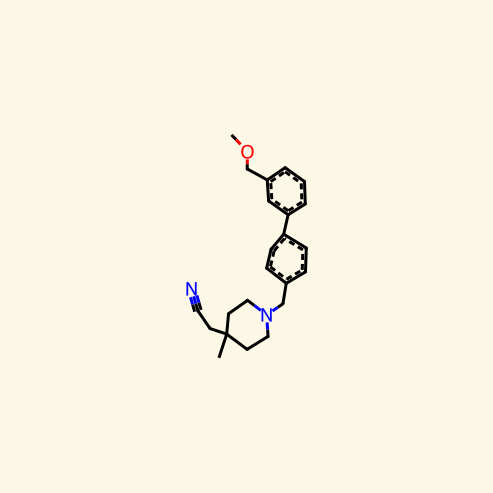 COCc1cccc(-c2ccc(CN3CCC(C)(CC#N)CC3)cc2)c1